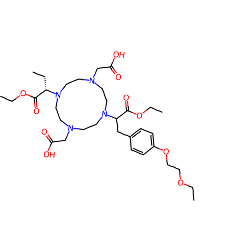 CCOCCOc1ccc(CC(C(=O)OCC)N2CCN(CC(=O)O)CCN([C@@H](CC)C(=O)OCC)CCN(CC(=O)O)CC2)cc1